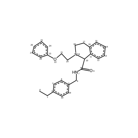 CCc1ccc(CNC(=O)C2c3ccccc3CCN2CCOc2ccccc2)cc1